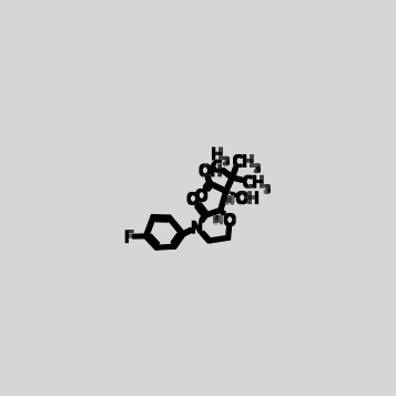 CC(C)(C)[C@](O)(C(=O)O)[C@H]1OCCN(c2ccc(F)cc2)C1=O